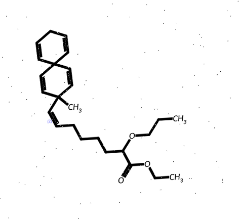 CCCOC(CCCC/C=C\C1(C)C=CC2(C=CCC=C2)C=C1)C(=O)OCC